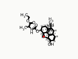 CCOC(=O)C(C)NC(=O)O[C@H]1CC[C@H]2[C@H]3Cc4ccc(O)c5c4[C@@]2(CCN3C)[C@H]1O5